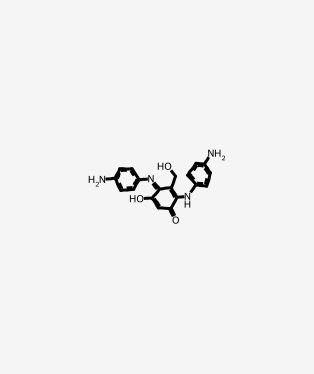 Nc1ccc(/N=C2\C(O)=CC(=O)C(Nc3ccc(N)cc3)=C2CO)cc1